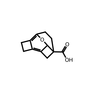 O=C(O)C12CCC3=C4CCC4=C(C1)C2O3